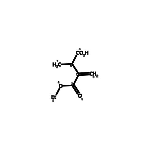 C=C(C(=O)OCC)C(C)C(=O)O